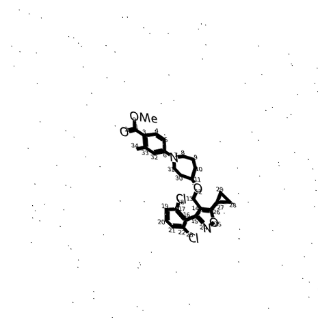 COC(=O)c1ccc(N2CCCC(OCc3c(-c4c(Cl)cccc4Cl)noc3C3CC3)CC2)cc1C